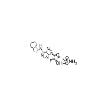 NS(=O)(=O)NC[C@H]1O[C@@H](n2cnc3c(NC4CCc5ccccc54)ncnc32)[C@@H](F)[C@@H]1O